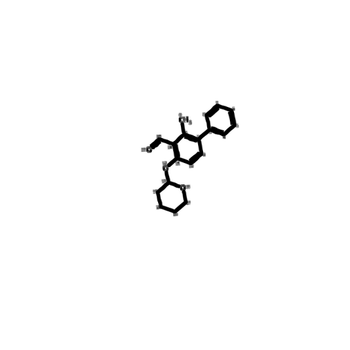 Cc1c(-c2ccccc2)ccc(OC2CCCCO2)c1C=O